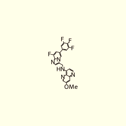 COc1cnc2c(NCc3cnc4c(F)cc(-c5cc(F)c(F)c(F)c5)cn34)ccnc2c1